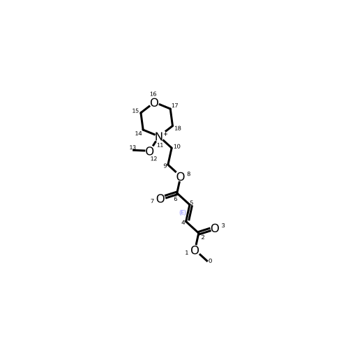 COC(=O)/C=C/C(=O)OCC[N+]1(OC)CCOCC1